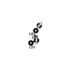 Oc1cccc(-c2nccn3nc(Nc4ccc(N5CCOCC5)cc4)nc23)c1